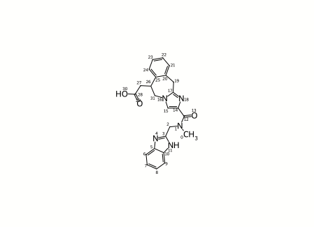 CN(Cc1nc2ccccc2[nH]1)C(=O)c1cn2c(n1)Cc1ccccc1C(CC(=O)O)C2